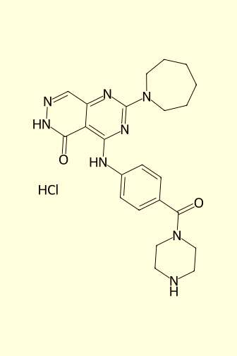 Cl.O=C(c1ccc(Nc2nc(N3CCCCCC3)nc3cn[nH]c(=O)c23)cc1)N1CCNCC1